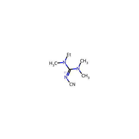 CCN(C)/C(=N/C#N)N(C)C